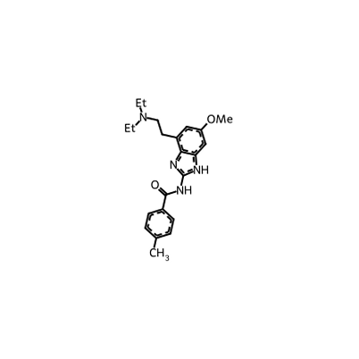 CCN(CC)CCc1cc(OC)cc2[nH]c(NC(=O)c3ccc(C)cc3)nc12